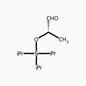 CC(C)[Si](O[C@@H](C)C=O)(C(C)C)C(C)C